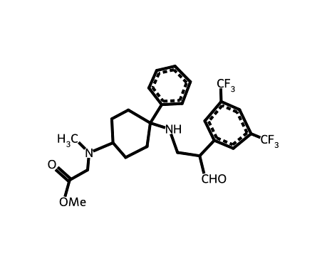 COC(=O)CN(C)C1CCC(NCC(C=O)c2cc(C(F)(F)F)cc(C(F)(F)F)c2)(c2ccccc2)CC1